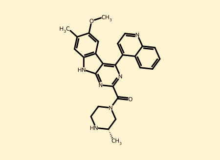 COc1cc2c(cc1C)[nH]c1nc(C(=O)N3CCN[C@@H](C)C3)nc(-c3ccnc4ccccc34)c12